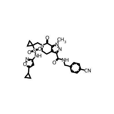 Cn1nc(C(=O)NCc2ccc(C#N)cc2)c2c1C(=O)N(CC1(S(=O)(=O)Nc3cc(C4CC4)on3)CC1)CC2